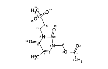 CC(=O)OCn1cc(C)c(=O)n(CCS(C)(=O)=O)c1=O